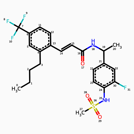 CCCCc1cc(C(F)(F)F)ccc1C=CC(=O)NC(C)c1ccc(NS(C)(=O)=O)c(F)c1